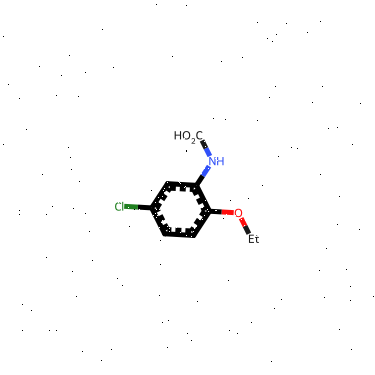 CCOc1ccc(Cl)cc1NC(=O)O